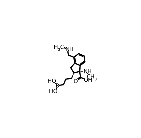 CNCc1cccc2c1C[C@H](CCCB(O)O)[C@]2(NC)C(=O)O